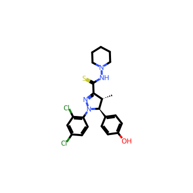 C[C@H]1C(C(=S)NN2CCCCC2)=NN(c2ccc(Cl)cc2Cl)[C@@H]1c1ccc(O)cc1